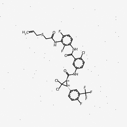 C=CCSCC(=O)Nc1c(F)ccc(NC(=O)c2cc(NC(=O)[C@H]3[C@H](c4ccc(F)c(C(F)(F)F)c4)C3(Cl)Cl)ccc2Cl)c1F